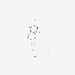 CC1OCc2c(N3CC4CC=CC(N)C4C3)c(F)cc3c(=O)c(OC(=O)O)cn1c23